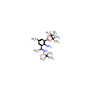 Cc1cc(B2OC(C)(C)C(C)(C)O2)c(N)c(C(C)N[S+]([O-])C(C)(C)C)c1